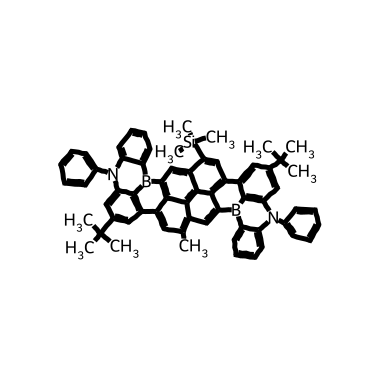 Cc1cc2c3c(cc4c([Si](C)(C)C)cc5c6c(cc1c3c46)B1c3ccccc3N(c3ccccc3)c3cc(C(C)(C)C)cc-5c31)B1c3ccccc3N(c3ccccc3)c3cc(C(C)(C)C)cc-2c31